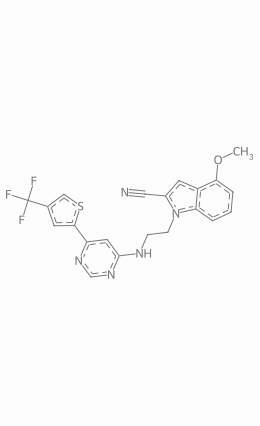 COc1cccc2c1cc(C#N)n2CCNc1cc(-c2cc(C(F)(F)F)cs2)ncn1